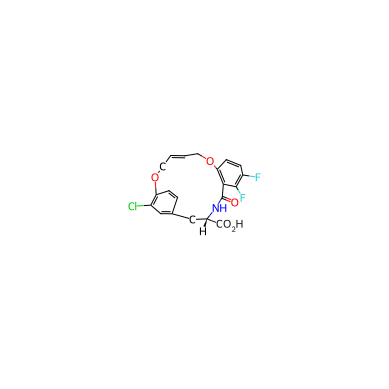 O=C1N[C@H](C(=O)O)Cc2ccc(c(Cl)c2)OC/C=C\COc2ccc(F)c(F)c21